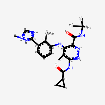 [2H]C([2H])([2H])NC(=O)c1nnc(NC(=O)C2CC2)c(C)c1Nc1cccc(-c2ncn(C)n2)c1OC